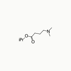 CC(C)OC(=O)CCCN(C)C